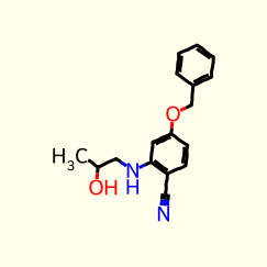 CC(O)CNc1cc(OCc2ccccc2)ccc1C#N